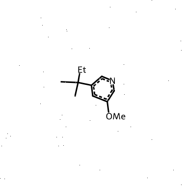 CCC(C)(C)c1cncc(OC)c1